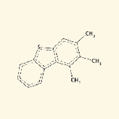 Cc1cc2sc3ccccc3c2c(C)c1C